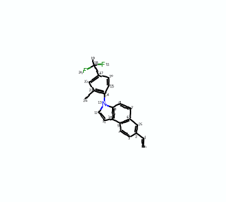 C=Cc1ccc2c(ccc3c2ccn3-c2ccc(C(C)(F)F)cc2C)c1